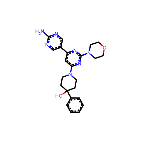 Nc1ncc(-c2cc(N3CCC(O)(c4ccccc4)CC3)nc(N3CCOCC3)n2)cn1